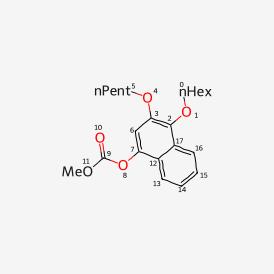 CCCCCCOc1c(OCCCCC)cc(OC(=O)OC)c2ccccc12